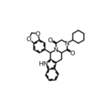 O=C1C2Cc3c([nH]c4ccccc34)C(c3ccc4c(c3)OCO4)N2C(=O)CN1C1CCCCC1